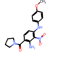 COc1ccc(Nc2ccc(C(=O)N3CCCC3)c(N)c2[N+](=O)[O-])cc1